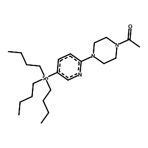 CCC[CH2][Sn]([CH2]CCC)([CH2]CCC)[c]1ccc(N2CCN(C(C)=O)CC2)nc1